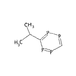 CC(C)c1ppcpp1